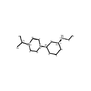 CCN[C@H]1CCC[C@@H](N2CCN(C(C)C)CC2)C1